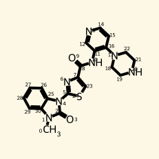 Cn1c(=O)n(-c2nc(C(=O)Nc3cnccc3N3CCNCC3)cs2)c2ccccc21